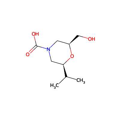 CC(C)[C@H]1CN(C(=O)O)C[C@@H](CO)O1